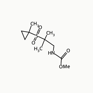 COC(=O)NCC(C)(C)S(=O)(=O)C1(C)CC1